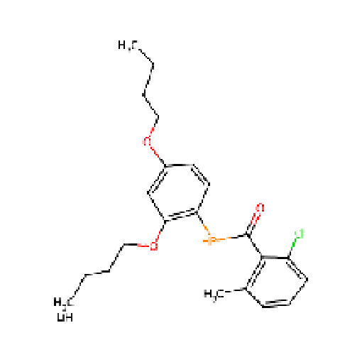 CCCCOc1ccc(PC(=O)c2c(C)cccc2Cl)c(OCCCC)c1.[LiH]